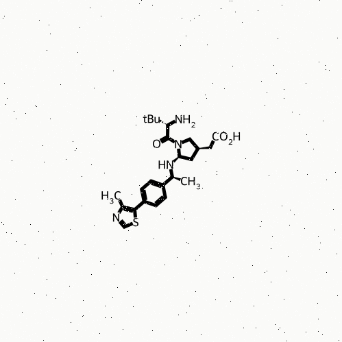 Cc1ncsc1-c1ccc([C@H](C)N[C@@H]2C[C@H](CC(=O)O)CN2C(=O)[C@@H](N)C(C)(C)C)cc1